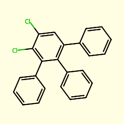 Clc1cc(-c2ccccc2)c(-c2ccccc2)c(-c2ccccc2)c1Cl